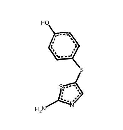 Nc1ncc(Sc2ccc(O)cc2)s1